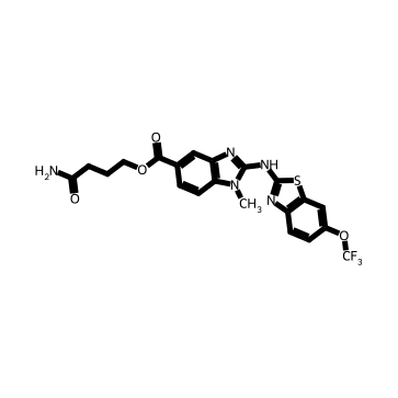 Cn1c(Nc2nc3ccc(OC(F)(F)F)cc3s2)nc2cc(C(=O)OCCCC(N)=O)ccc21